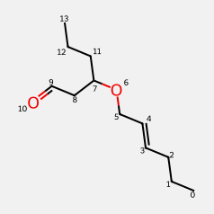 CCCC=CCOC(CC=O)CCC